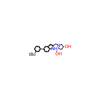 CC(C)(C)c1cccc(-c2ccc3[nH]c(CN4C[C@H](O)C[C@@H]4CO)cc3c2)c1